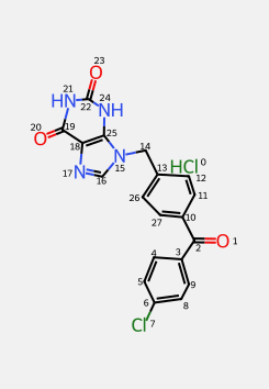 Cl.O=C(c1ccc(Cl)cc1)c1ccc(Cn2cnc3c(=O)[nH]c(=O)[nH]c32)cc1